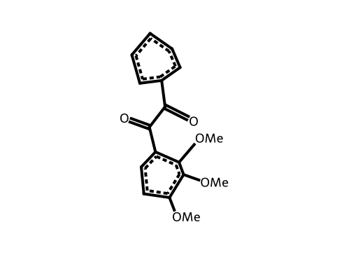 COc1ccc(C(=O)C(=O)c2ccccc2)c(OC)c1OC